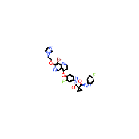 O=C(Nc1ccc(F)cc1)C1(C(=O)Nc2ccc(Oc3ccnc4c(Br)c(OCCn5ccnc5)ncc34)c(F)c2)CC1